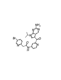 CC(C)n1cc(C(=O)c2cc(NC(=O)Cc3ccc(Br)cn3)ccn2)c2cnc(N)nc21